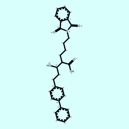 O=C(O)C(CCCCN1C(=O)c2ccccc2C1=O)C(O)CCc1ccc(-c2ccccc2)cc1